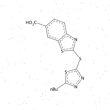 CCCCc1nnc(Sc2nc3ccc(C(=O)O)cc3s2)s1